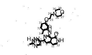 C=C(N)/N=C\C(=C/N)c1cc2cc[nH]c(=O)c2c(Nc2cc(OCCN3CCOCC3)ccc2C)n1